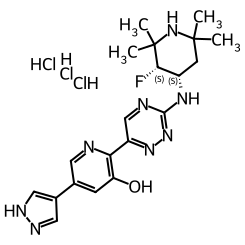 CC1(C)C[C@H](Nc2ncc(-c3ncc(-c4cn[nH]c4)cc3O)nn2)[C@H](F)C(C)(C)N1.Cl.Cl.Cl